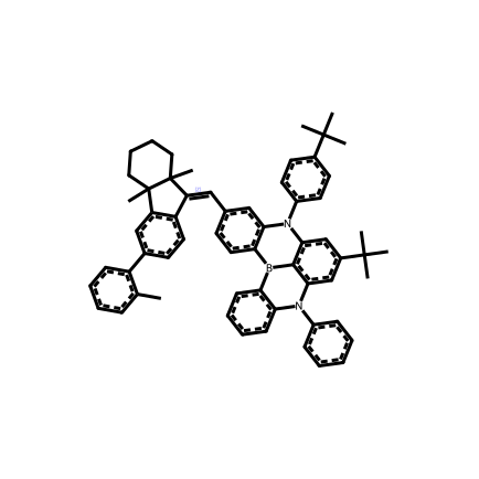 Cc1ccccc1-c1ccc2c(c1)C1(C)CCCCC1(C)/C2=C/c1ccc2c(c1)N(c1ccc(C(C)(C)C)cc1)c1cc(C(C)(C)C)cc3c1B2c1ccccc1N3c1ccccc1